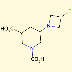 O=C(O)C1CC(N2CC(F)C2)CN(C(=O)O)C1